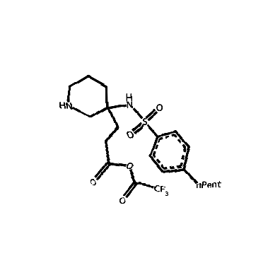 CCCCCc1ccc(S(=O)(=O)NC2(CCC(=O)OC(=O)C(F)(F)F)CCCNC2)cc1